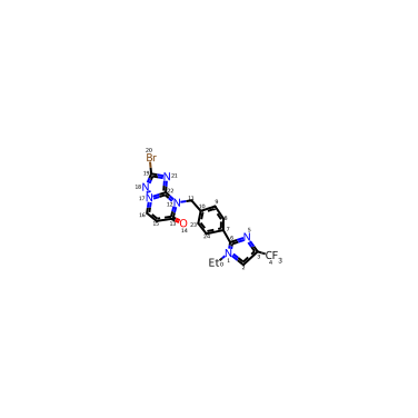 CCn1cc(C(F)(F)F)nc1-c1ccc(Cn2c(=O)ccn3nc(Br)nc23)cc1